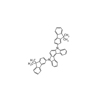 CC1(C)c2ccccc2-c2cc(-n3c4ccccc4c4c5c6ccccc6n(-c6ccc7c(c6)C(C)(C)c6ccccc6-7)c5ccc43)ccc21